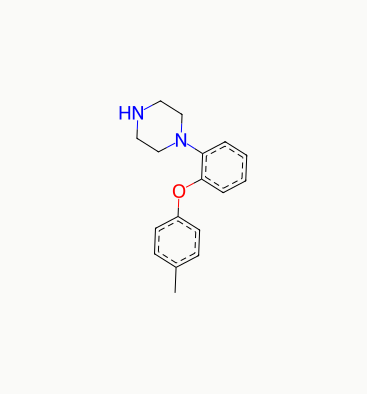 Cc1ccc(Oc2ccccc2N2CCNCC2)cc1